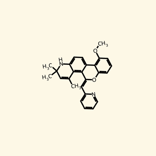 COc1cccc2c1-c1ccc3c(c1C(=Cc1ccccn1)O2)C(C)=CC(C)(C)N3